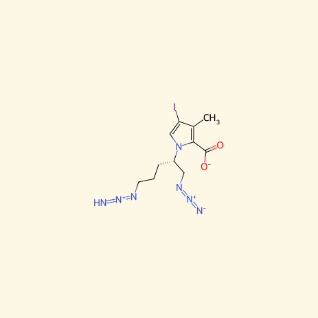 Cc1c(I)cn([C@@H](CCCN=[N+]=N)CN=[N+]=[N-])c1C(=O)[O-]